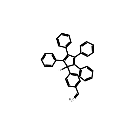 C=Cc1ccc(C2(Br)C(c3ccccc3)=C(c3ccccc3)C(c3ccccc3)=C2c2ccccc2)cc1